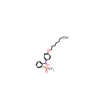 CCCCCCCCCCCCCCCCOc1ccc([I+](OS(=O)(=O)C(F)(F)F)c2ccccc2)cc1